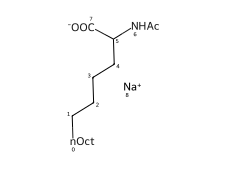 CCCCCCCCCCCCC(NC(C)=O)C(=O)[O-].[Na+]